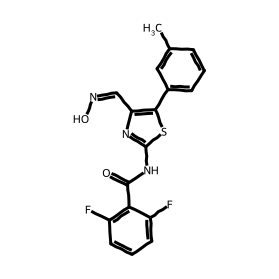 Cc1cccc(-c2sc(NC(=O)c3c(F)cccc3F)nc2/C=N\O)c1